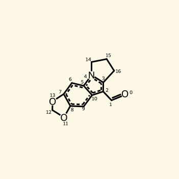 O=Cc1c2n(c3cc4c(cc13)OCO4)CCC2